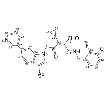 CC(=O)c1cn(CC(=O)N(C(C=O)CNCc2cccc(Cl)c2F)C2CC2)c2cc(-c3cncnc3)ccc12